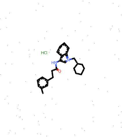 Cc1cccc(CCC(=O)Nc2cn(CC3CCCCC3)c3ccccc23)c1.Cl